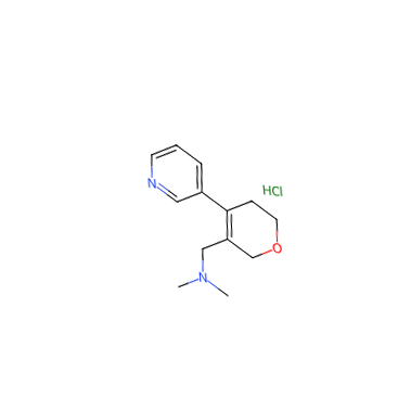 CN(C)CC1=C(c2cccnc2)CCOC1.Cl